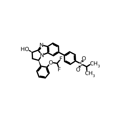 CC(C)S(=O)(=O)c1ccc(-c2ccc3nc4n(c3c2)[C@@H](c2ccccc2OC(F)F)C[C@H]4O)cc1